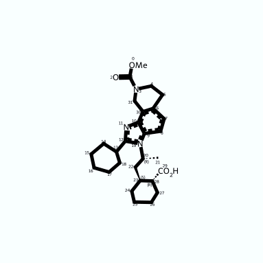 COC(=O)N1CCc2ccc3c(nc(C4CCCCC4)n3[C@H](C)C[C@@H]3CCCC[C@H]3C(=O)O)c2C1